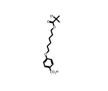 CCC(C)(C)C(=O)OCCCCCCOc1ccc(C(=O)O)cc1